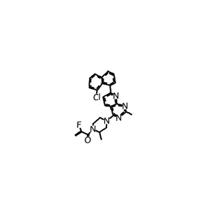 C=C(F)C(=O)N1CCN(c2nc(C)nc3nc(-c4cccc5cccc(Cl)c45)ccc23)CC1C